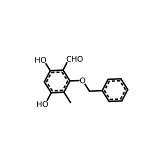 Cc1c(O)cc(O)c(C=O)c1OCc1ccccc1